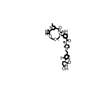 Cc1cc2cc(n1)-c1cnn(C)c1OCCC[C@@H](C)CN1/C(=N/C2=O)Nc2ccc(C(=O)N(C)[C@@H]3CCN(CCc4cc(F)c([C@H]5CCC(=O)NC5=O)c(F)c4)C3)cc21